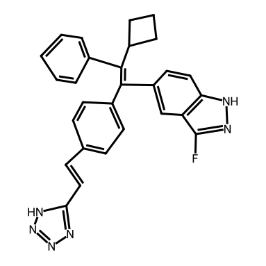 Fc1n[nH]c2ccc(/C(=C(/c3ccccc3)C3CCC3)c3ccc(/C=C/c4nnn[nH]4)cc3)cc12